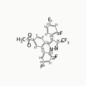 CS(=O)(=O)c1ccc(-c2c(-c3ccc(F)cc3F)c(C(F)(F)F)nn2-c2ccc(F)cc2F)cc1